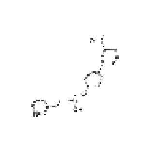 CC(=O)c1cccc(-c2ccc(OC[C@H](O)CCc3cccnc3)cc2)c1